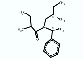 CCC(C)C(=O)N(C[C@@H](C)CC)[C@H](C)c1ccccc1